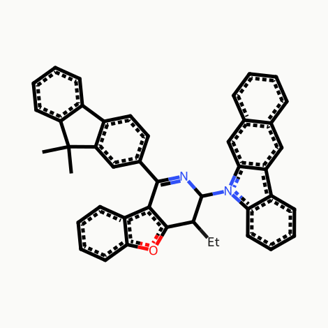 CCC1c2oc3ccccc3c2C(c2ccc3c(c2)C(C)(C)c2ccccc2-3)=NC1n1c2ccccc2c2cc3ccccc3cc21